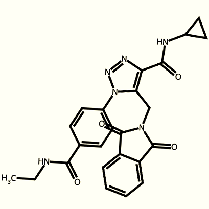 CCNC(=O)c1ccc(-n2nnc(C(=O)NC3CC3)c2CN2C(=O)c3ccccc3C2=O)cc1